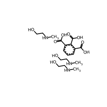 CNCCO.CNCCO.CNCCO.O=C(O)c1cccc(C(=O)O)c1C(=O)O